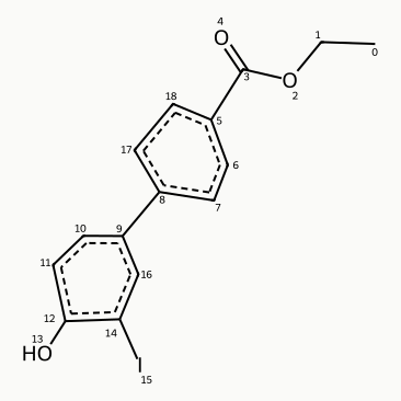 CCOC(=O)c1ccc(-c2ccc(O)c(I)c2)cc1